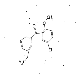 CCc1cccc(C(=O)c2cc(Cl)ccc2OC)c1